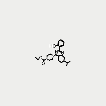 CCOC(=O)N1CCN(c2nc(-c3ccccc3O)nc3c2CCC(C(C)C)C3)CC1